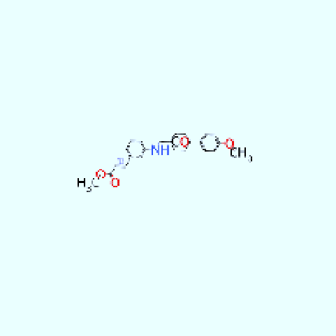 COC(=O)/C=C/c1cccc(NCC23CCC(c4ccc(OC)cc4)(CC2)OC3)c1